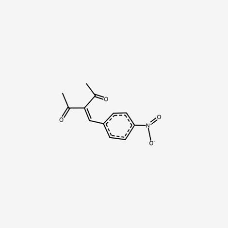 CC(=O)C(=Cc1ccc([N+](=O)[O-])cc1)C(C)=O